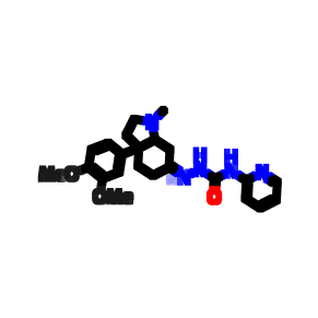 COc1ccc(C23CC/C(=N/NC(=O)Nc4ccccn4)CC2N(C)CC3)cc1OC